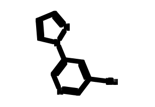 CC(C)(C)c1cncc(-n2cccn2)c1